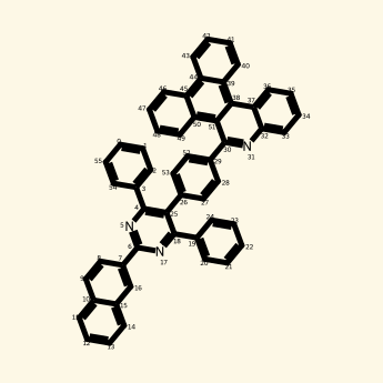 c1ccc(-c2nc(-c3ccc4ccccc4c3)nc(-c3ccccc3)c2-c2ccc(-c3nc4ccccc4c4c5ccccc5c5ccccc5c34)cc2)cc1